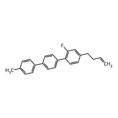 C=CCCc1ccc(-c2ccc(-c3ccc(C)cc3)cc2)c(F)c1